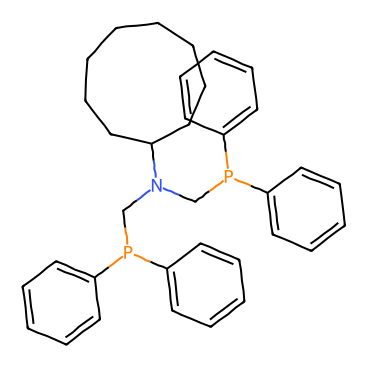 c1ccc(P(CN(CP(c2ccccc2)c2ccccc2)C2CCCCCCCC2)c2ccccc2)cc1